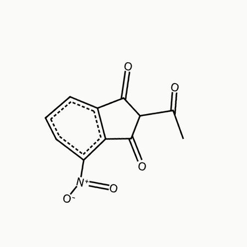 CC(=O)C1C(=O)c2cccc([N+](=O)[O-])c2C1=O